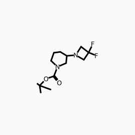 CC(C)(C)OC(=O)N1CCCC(N2CC(F)(F)C2)C1